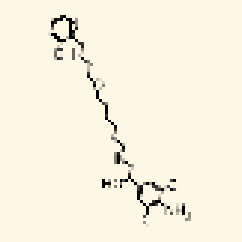 Nc1c(Cl)cc(C(O)CNCCCCCCOCCCCc2ncccc2O)cc1Cl